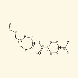 CCCCN1CCCN(CC(=O)N2CCN(C(C)C)CC2)CC1